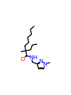 CCCCCCC(C)(CCC)C(=O)NCc1ccn(C)n1